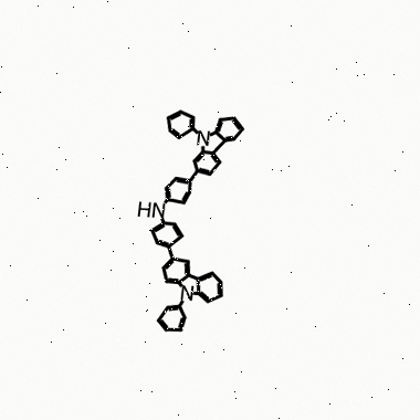 c1ccc(-n2c3ccccc3c3cc(-c4ccc(Nc5ccc(-c6ccc7c8ccccc8n(-c8ccccc8)c7c6)cc5)cc4)ccc32)cc1